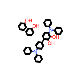 Oc1c(-c2ccc(N(c3ccccc3)c3ccccc3)cc2)ccc(N(c2ccccc2)c2ccccc2)c1O.Oc1ccccc1.Oc1ccccc1